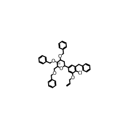 C=CCOc1cc(C2CC(OCc3ccccc3)[C@H](OCc3ccccc3)C(COCc3ccccc3)O2)cc(Cc2ccccc2)c1Cl